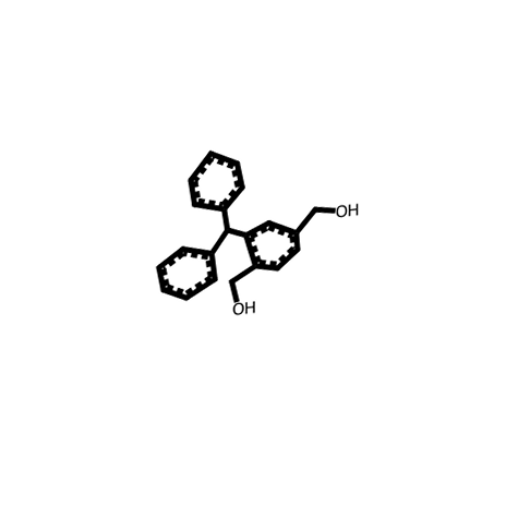 OCc1ccc(CO)c(C(c2ccccc2)c2ccccc2)c1